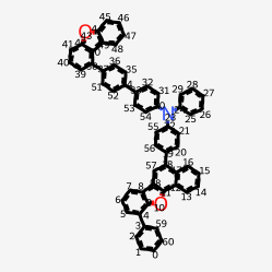 c1ccc(-c2cccc3c2oc2c4ccccc4c(-c4ccc(N(c5ccccc5)c5ccc(-c6ccc(-c7cccc8oc9ccccc9c78)cc6)cc5)cc4)cc32)cc1